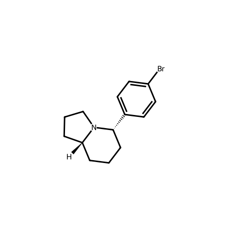 Brc1ccc([C@@H]2CCC[C@@H]3CCCN32)cc1